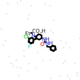 CCC(C(=O)O)n1c2c(c3cc(F)cc(Cl)c31)C[C@@H](NC(=O)NCc1ccccc1)CC2